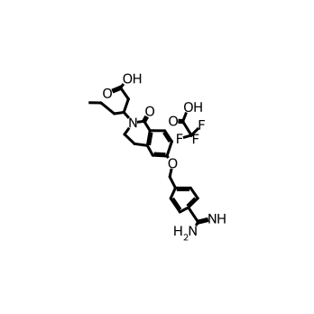 CCCC(CC(=O)O)N1CCc2cc(OCc3ccc(C(=N)N)cc3)ccc2C1=O.O=C(O)C(F)(F)F